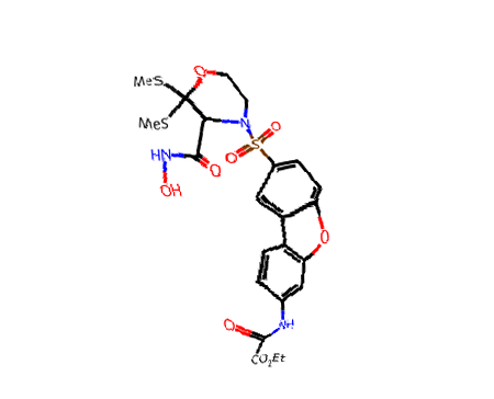 CCOC(=O)C(=O)Nc1ccc2c(c1)oc1ccc(S(=O)(=O)N3CCOC(SC)(SC)C3C(=O)NO)cc12